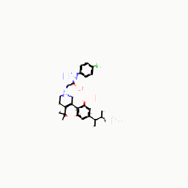 CCCCCC(C)C(C)c1cc(O)c2c(c1)OC(C)(C)C1=C2CN(CC(=O)Nc2ccc(Cl)cc2)CC1